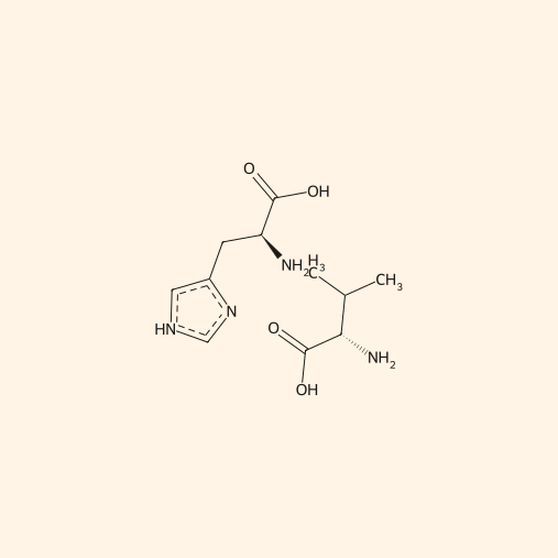 CC(C)[C@H](N)C(=O)O.N[C@@H](Cc1c[nH]cn1)C(=O)O